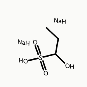 CCC(O)S(=O)(=O)O.[NaH].[NaH]